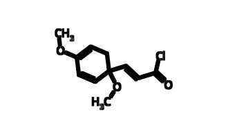 COC1=CCC(C=CC(=O)Cl)(OC)C=C1